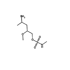 BC(C)CC(COS(=O)(=O)NC)OC